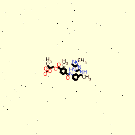 Cc1cc(C(=O)Nc2cccc([C@H](C)Nc3cnc4cnn(C)c4n3)c2)ccc1C(=O)OCc1oc(=O)oc1C